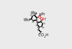 CCCOc1c(-c2cc(/C=C/C(=O)O)ccc2O)cc(C(C)(C)C)cc1C(C)(C)C